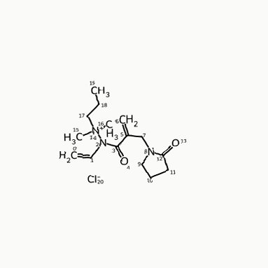 C=CN(C(=O)C(=C)CN1CCCC1=O)[N+](C)(C)CCC.[Cl-]